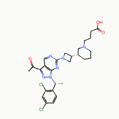 CC(=O)c1nn([C@H](C)c2ccc(Cl)cc2Cl)c2nc(N3CC([C@H]4CCCN(CCCC(=O)O)C4)C3)ncc12